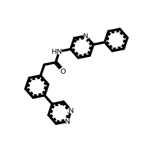 O=C(Cc1cccc(-c2ccnnc2)c1)Nc1ccc(-c2ccccc2)nc1